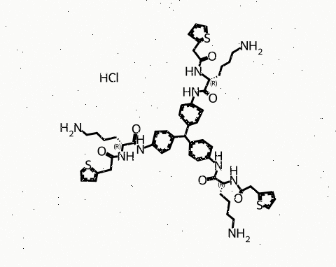 Cl.NCCCC[C@@H](NC(=O)Cc1cccs1)C(=O)Nc1ccc(C(c2ccc(NC(=O)[C@@H](CCCCN)NC(=O)Cc3cccs3)cc2)c2ccc(NC(=O)[C@@H](CCCCN)NC(=O)Cc3cccs3)cc2)cc1